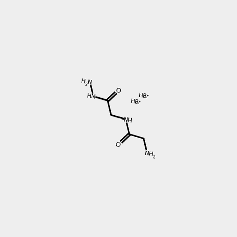 Br.Br.NCC(=O)NCC(=O)NN